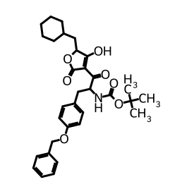 CC(C)(C)OC(=O)NC(Cc1ccc(OCc2ccccc2)cc1)C(=O)C1=C(O)C(CC2CCCCC2)OC1=O